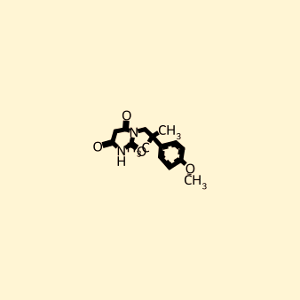 COc1ccc(C(C)(C)CN2C(=O)CC(=O)NC2=O)cc1